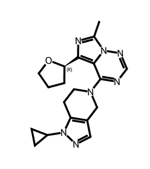 Cc1nc([C@H]2CCCO2)c2c(N3CCc4c(cnn4C4CC4)C3)ncnn12